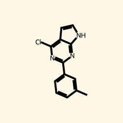 Cc1cccc(-c2nc(Cl)c3cc[nH]c3n2)c1